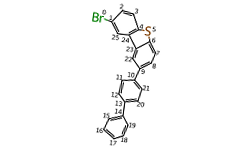 Brc1ccc2sc3ccc(-c4ccc(-c5ccccc5)cc4)cc3c2c1